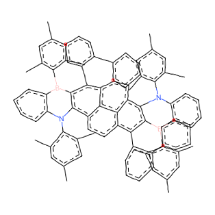 Cc1cc(C)c(B2c3ccccc3N(c3c(C)cc(C)cc3C)c3c2c(-c2ccccc2-c2ccccc2)c2ccc4c5c(c(-c6ccccc6-c6ccccc6)c6ccc3c2c64)B(c2c(C)cc(C)cc2C)c2ccccc2N5c2c(C)cc(C)cc2C)c(C)c1